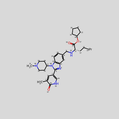 Cc1cc(-c2nc3cc(CN[C@@H](CCC(C)C)C(=O)OC4CCCC4)ccc3n2C2CCN(C)CC2)c[nH]c1=O